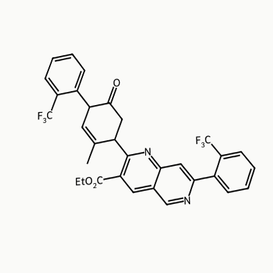 CCOC(=O)c1cc2cnc(-c3ccccc3C(F)(F)F)cc2nc1C1CC(=O)C(c2ccccc2C(F)(F)F)C=C1C